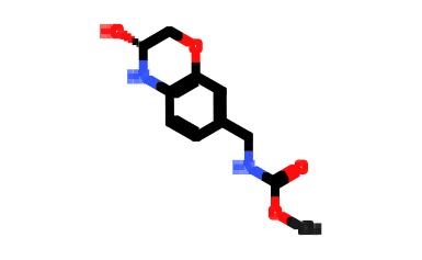 CC(C)(C)OC(=O)NCc1ccc2c(c1)OC[C@@H](O)N2